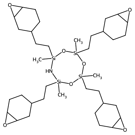 C[Si]1(CCC2CCC3OC3C2)N[Si](C)(CCC2CCC3OC3C2)O[Si](C)(CCC2CCC3OC3C2)O[Si](C)(CCC2CCC3OC3C2)O1